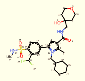 Cc1c(C(=O)NCC2(O)CCOCC2)cc(-c2ccc(S(=O)(=O)NC(C)(C)C)c(C(F)F)c2)n1CC1CCCCC1